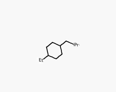 CCC1CCC(C[C](C)C)CC1